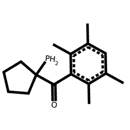 Cc1cc(C)c(C)c(C(=O)C2(P)CCCC2)c1C